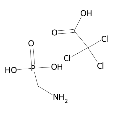 NCP(=O)(O)O.O=C(O)C(Cl)(Cl)Cl